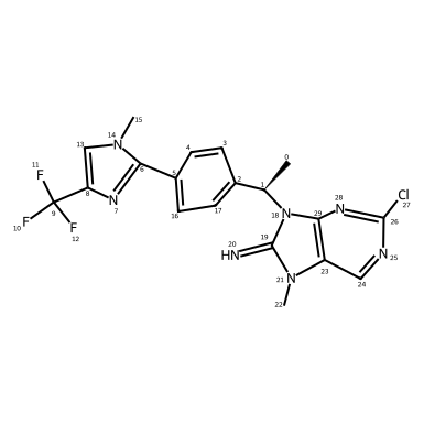 C[C@H](c1ccc(-c2nc(C(F)(F)F)cn2C)cc1)n1c(=N)n(C)c2cnc(Cl)nc21